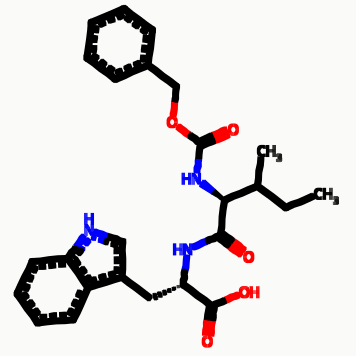 CCC(C)[C@H](NC(=O)OCc1ccccc1)C(=O)N[C@@H](Cc1c[nH]c2ccccc12)C(=O)O